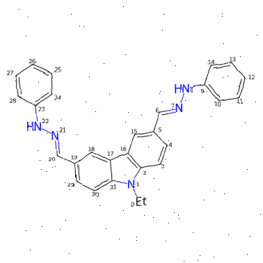 CCn1c2ccc(C=NNc3ccccc3)cc2c2cc(C=NNc3ccccc3)ccc21